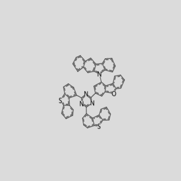 c1ccc2cc3c(cc2c1)c1ccccc1n3-c1cc(-c2nc(-c3cccc4sc5ccccc5c34)nc(-c3cccc4sc5ccccc5c34)n2)cc2oc3ccccc3c12